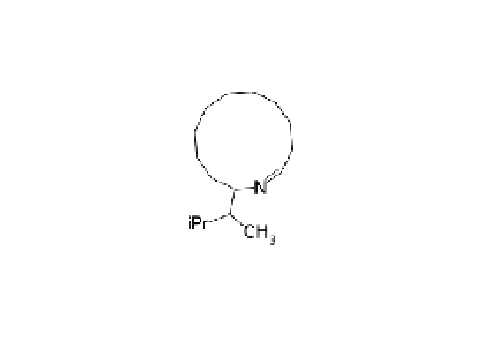 CC(C)C(C)C1CCCCCCCCCC=N1